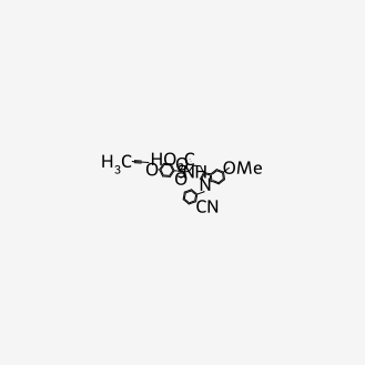 CC#CCOc1ccc(S(=O)(=O)N[C@@H](Cc2cn(Cc3ccccc3C#N)c3ccc(OC)cc23)C(=O)O)cc1